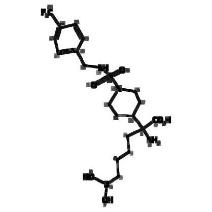 NC(CCCCB(O)O)(C(=O)O)C1CCN(S(=O)(=O)NCc2ccc(C(F)(F)F)cc2)CC1